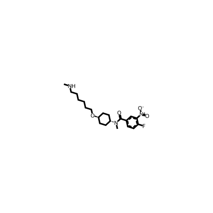 CNCCCCCCO[C@H]1CC[C@H](N(C)C(=O)c2ccc(F)c([N+](=O)[O-])c2)CC1